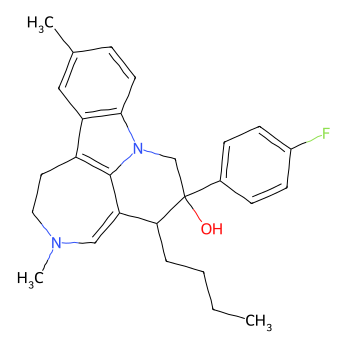 CCCCC1C2=CN(C)CCc3c2n(c2ccc(C)cc32)CC1(O)c1ccc(F)cc1